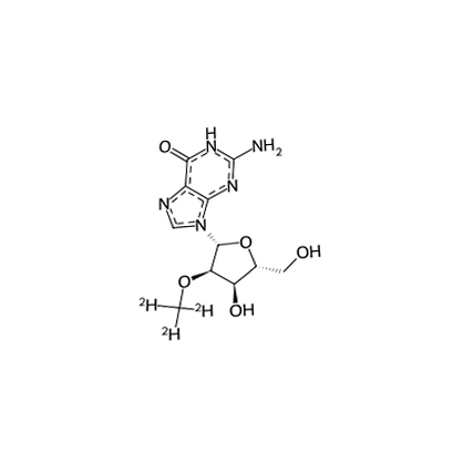 [2H]C([2H])([2H])O[C@@H]1[C@H](O)[C@@H](CO)O[C@H]1n1cnc2c(=O)[nH]c(N)nc21